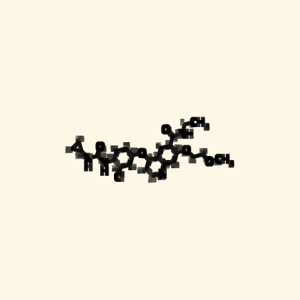 CCNC(=O)c1cc2c(Oc3ccc(NC(=O)NC4CC4)c(Cl)c3)ccnc2cc1OCCOC